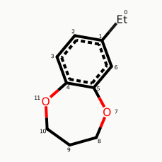 [CH2]Cc1ccc2c(c1)OCCCO2